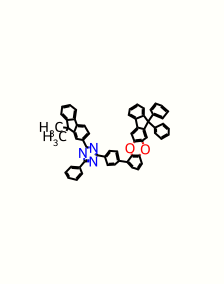 CC1(C)c2ccccc2-c2ccc(-c3nc(-c4ccccc4)nc(-c4ccc(-c5cccc6c5Oc5cc7c(cc5O6)C(c5ccccc5)(c5ccccc5)c5ccccc5-7)cc4)n3)cc21